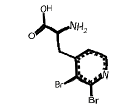 NC(Cc1ccnc(Br)c1Br)C(=O)O